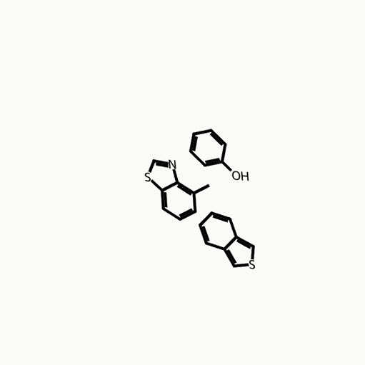 Cc1cccc2scnc12.Oc1ccccc1.c1ccc2cscc2c1